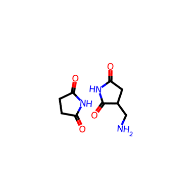 NCC1CC(=O)NC1=O.O=C1CCC(=O)N1